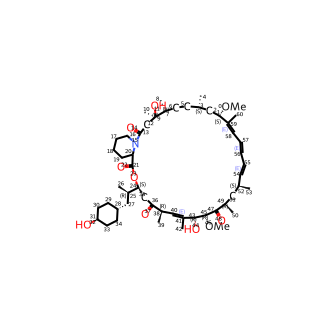 CO[C@H]1C[C@@H](C)CC[C@@H](C)[C@](C)(O)CC(=O)N2CCCCC2C(=O)O[C@H]([C@H](C)C[C@H]2CC[C@H](O)CC2)CC(=O)[C@H](C)/C=C(\C)[C@@H](O)[C@@H](OC)C(=O)[C@H](C)C[C@H](C)/C=C/C=C/C=C/1C